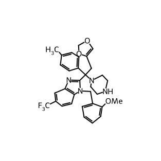 COc1ccccc1Cn1c(C(CC2=COCO2)(c2ccc(C)cc2)N2CCNCC2)nc2cc(C(F)(F)F)ccc21